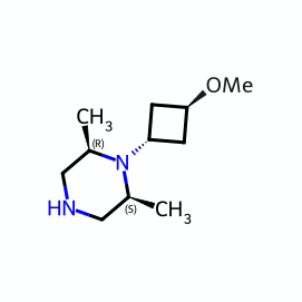 CO[C@H]1C[C@H](N2[C@H](C)CNC[C@@H]2C)C1